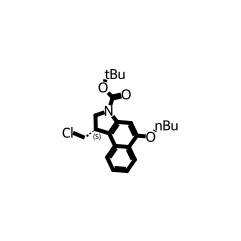 CCCCOc1cc2c(c3ccccc13)[C@H](CCl)CN2C(=O)OC(C)(C)C